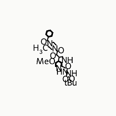 COc1cnc(C(=O)NNC(=O)OC(C)(C)C)c2c1C(C(=O)C(=O)N1CCN(C(=O)c3ccccc3)C(C)C1)CN2